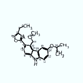 CCc1noc(-c2ncc3[nH]c4ccc(OC(C)C)cc4c3c2COC)n1